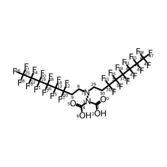 O=C(O)N(C(=O)O)N(CCC(F)(F)C(F)(F)C(F)(F)C(F)(F)C(F)(F)C(F)(F)F)CCC(F)(F)C(F)(F)C(F)(F)C(F)(F)C(F)(F)C(F)(F)F